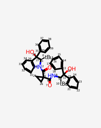 CC(C)(C)[C@@H](NC(=O)C1(C(=O)N[C@H](C(C)(C)C)C(O)(c2ccccc2)c2ccccc2)CC1)C(O)(c1ccccc1)c1ccccc1